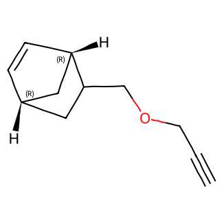 C#CCOCC1C[C@@H]2C=C[C@H]1C2